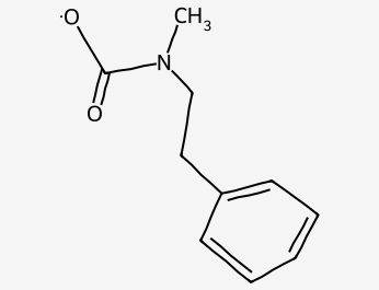 CN(CCc1ccccc1)C([O])=O